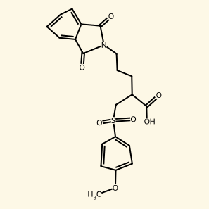 COc1ccc(S(=O)(=O)CC(CCCN2C(=O)c3ccccc3C2=O)C(=O)O)cc1